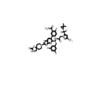 CC1(C)C[C@@H]1C(F)(F)c1cc(C(F)(F)F)nn1CC(=O)N[C@@H](Cc1cc(F)cc(F)c1)c1nc2nc(N3CCC4(CC3)CNC(=O)O4)sc2cc1-c1ccc(F)c(C(N)=O)c1